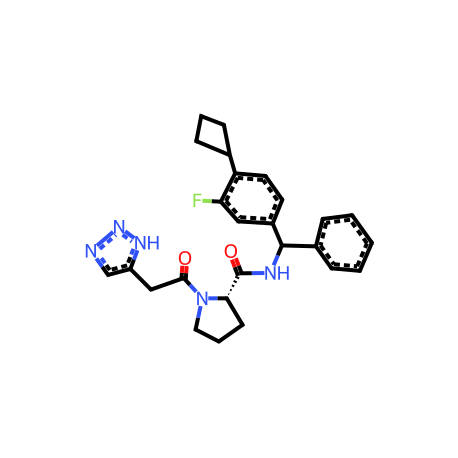 O=C(NC(c1ccccc1)c1ccc(C2CCC2)c(F)c1)[C@@H]1CCCN1C(=O)Cc1cnn[nH]1